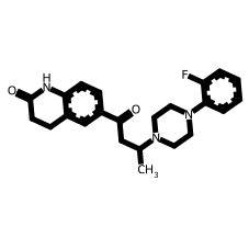 CC(CC(=O)c1ccc2c(c1)CCC(=O)N2)N1CCN(c2ccccc2F)CC1